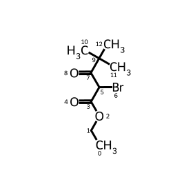 CCOC(=O)C(Br)C(=O)C(C)(C)C